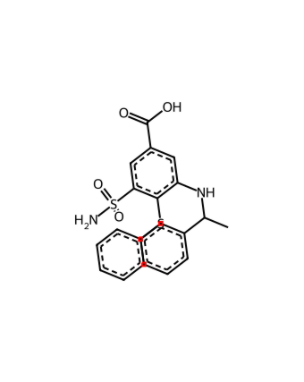 CC(Nc1cc(C(=O)O)cc(S(N)(=O)=O)c1Sc1ccccc1)c1ccccc1